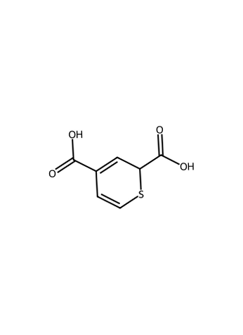 O=C(O)C1=CC(C(=O)O)SC=C1